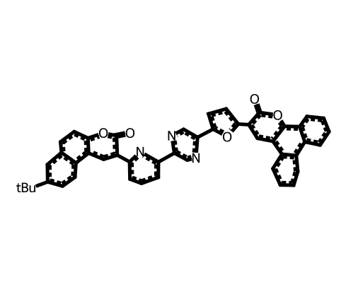 CC(C)(C)c1ccc2c(ccc3oc(=O)c(-c4cccc(-c5cnc(-c6ccc(-c7cc8c9ccccc9c9ccccc9c8oc7=O)o6)cn5)n4)cc32)c1